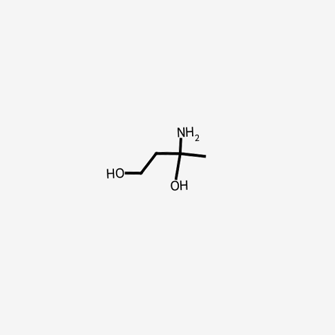 CC(N)(O)CCO